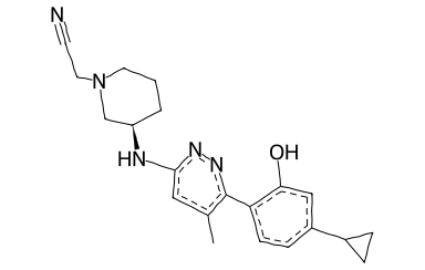 Cc1cc(N[C@@H]2CCCN(CC#N)C2)nnc1-c1ccc(C2CC2)cc1O